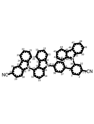 N#Cc1ccc(-c2ccc(-n3c4ccccc4c4c(-n5c6ccccc6c6cc(C#N)ccc65)cccc43)cc2)c(-n2c3ccccc3c3ccccc32)c1